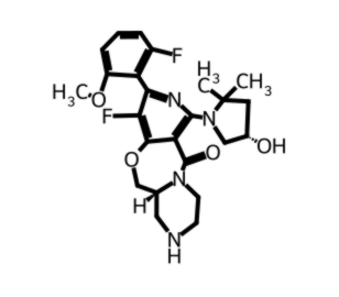 COc1cccc(F)c1-c1nc(N2C[C@@H](O)CC2(C)C)c2c(c1F)OC[C@H]1CNCCN1C2=O